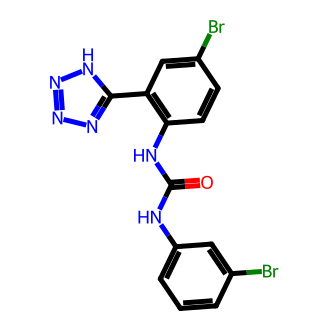 O=C(Nc1cccc(Br)c1)Nc1ccc(Br)cc1-c1nnn[nH]1